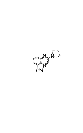 N#Cc1cccc2nc(N3CCCC3)cnc12